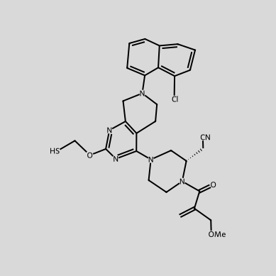 C=C(COC)C(=O)N1CCN(c2nc(OCS)nc3c2CCN(c2cccc4cccc(Cl)c24)C3)C[C@@H]1CC#N